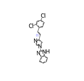 Clc1ccc(/C=C/c2cn(-c3nc4ccccc4[nH]3)cn2)c(Cl)c1